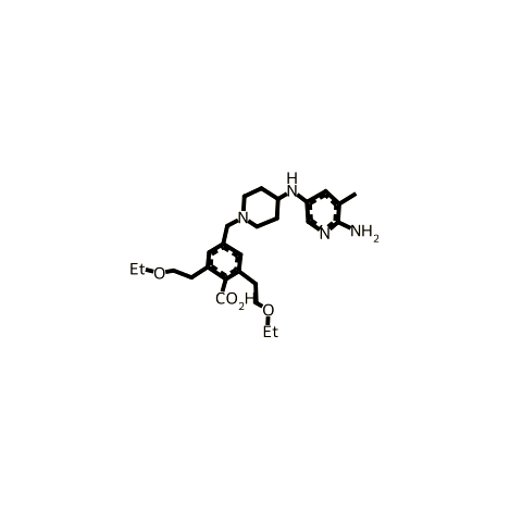 CCOCCc1cc(CN2CCC(Nc3cnc(N)c(C)c3)CC2)cc(CCOCC)c1C(=O)O